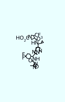 Cc1nonc1C(=O)N[C@H](c1cn2ncc([C@H](NC(=O)C3CN(C(=O)O)CC3C(F)(F)F)C3CC3)cc2n1)C1CCC(F)(F)CC1